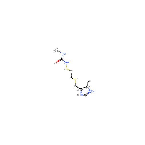 CCCCNC(=O)NSCCSCc1nc[nH]c1C